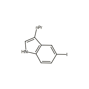 [CH2]CCc1c[nH]c2ccc(I)cc12